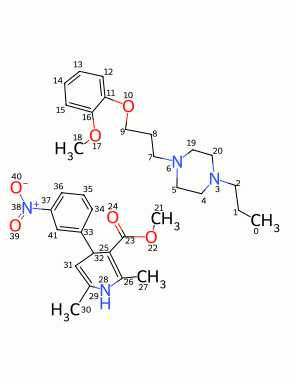 CCCN1CCN(CCCOc2ccccc2OC)CC1.COC(=O)C1=C(C)NC(C)=CC1c1cccc([N+](=O)[O-])c1